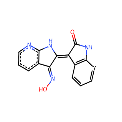 O=C1N[C]2=C(C=C[CH]=[Y]2)/C1=C1/Nc2ncccc2/C1=N\O